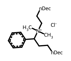 CCCCCCCCCCCCC(c1ccccc1)[N+](C)(C)CCCCCCCCCCCC.[Cl-]